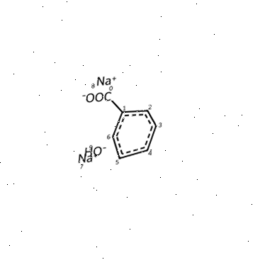 O=C([O-])c1cc[c]cc1.[Na+].[Na+].[OH-]